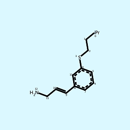 CC(C)CCSc1cccc(C=CCN)c1